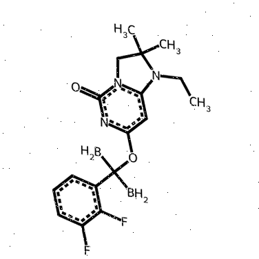 BC(B)(Oc1cc2n(c(=O)n1)CC(C)(C)N2CC)c1cccc(F)c1F